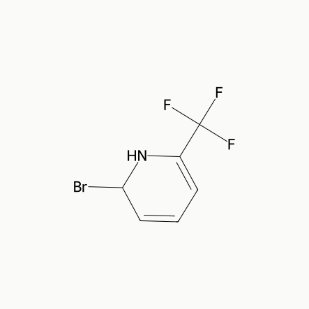 FC(F)(F)C1=CC=CC(Br)N1